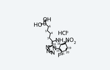 Cl.NC(CCCCB(O)O)c1nnnn1-c1cc([N+](=O)[O-])ccc1F